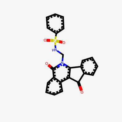 O=C1c2ccccc2-c2c1c1ccccc1c(=O)n2CNS(=O)(=O)c1ccccc1